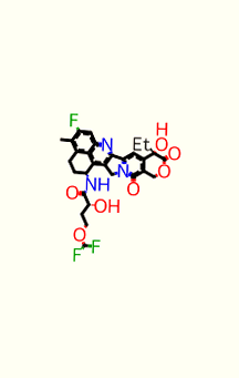 CC[C@@]1(O)C(=O)OCc2c1cc1n(c2=O)Cc2c-1nc1cc(F)c(C)c3c1c2[C@@H](NC(=O)[C@H](O)CCOC(F)F)CC3